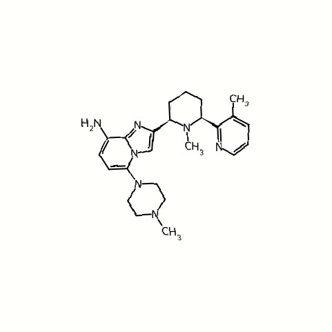 Cc1cccnc1[C@@H]1CCC[C@H](c2cn3c(N4CCN(C)CC4)ccc(N)c3n2)N1C